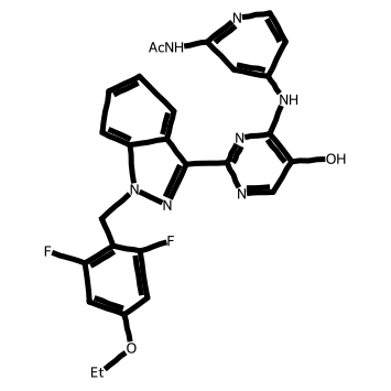 CCOc1cc(F)c(Cn2nc(-c3ncc(O)c(Nc4ccnc(NC(C)=O)c4)n3)c3ccccc32)c(F)c1